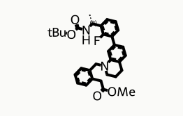 COC(=O)Cc1ccccc1CN1CCCc2ccc(-c3cccc([C@@H](C)NC(=O)OC(C)(C)C)c3F)cc21